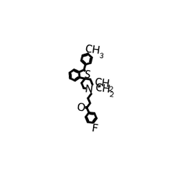 C=C.Cc1ccc(C2SC3(CCN(CCCC(=O)c4ccc(F)cc4)CC3)c3ccccc32)cc1